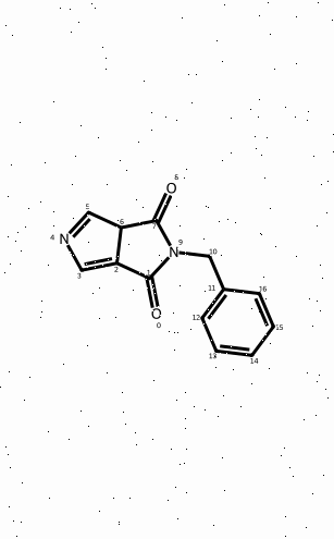 O=C1C2=CN=CC2C(=O)N1Cc1ccccc1